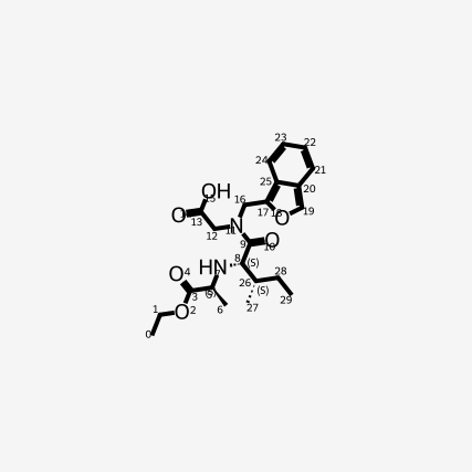 CCOC(=O)[C@H](C)N[C@H](C(=O)N(CC(=O)O)Cc1occ2ccccc12)[C@@H](C)CC